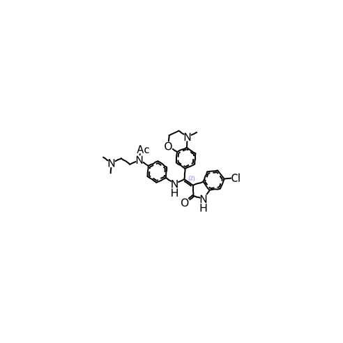 CC(=O)N(CCN(C)C)c1ccc(N/C(=C2\C(=O)Nc3cc(Cl)ccc32)c2ccc3c(c2)OCCN3C)cc1